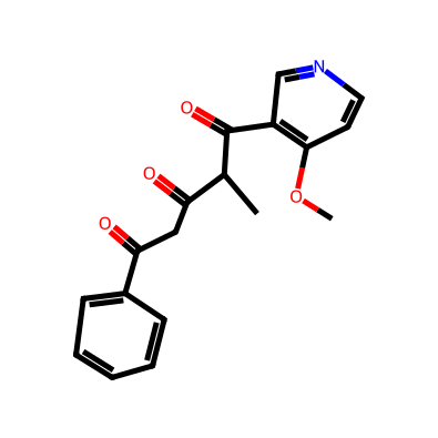 COc1ccncc1C(=O)C(C)C(=O)CC(=O)c1ccccc1